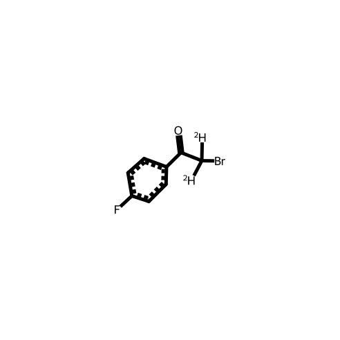 [2H]C([2H])(Br)C(=O)c1ccc(F)cc1